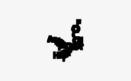 CC(=O)N1CCN(C[C@H]2CN[C@H](C)CN2CC(=O)N2CC(C)(C)c3ncc(Cc4ccc(F)cc4)cc32)C(C)C1